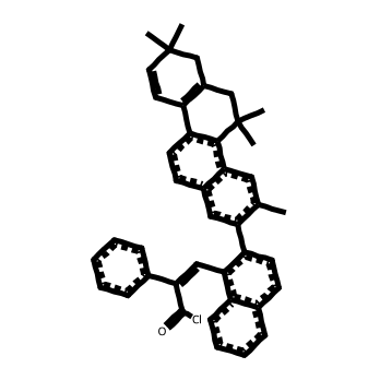 Cc1cc2c3c(ccc2cc1-c1ccc2ccccc2c1C=C(C(=O)Cl)c1ccccc1)C1=C(CC(C)(C)C=C1)CC3(C)C